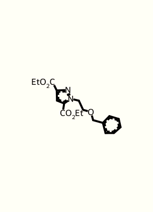 CCOC(=O)c1cc(C(=O)OCC)n(CCOCc2ccccc2)n1